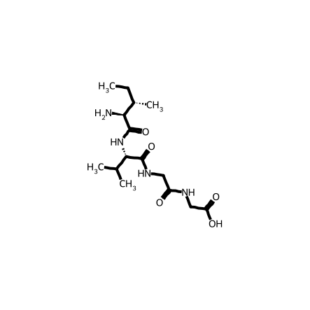 CC[C@H](C)[C@H](N)C(=O)N[C@H](C(=O)NCC(=O)NCC(=O)O)C(C)C